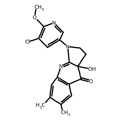 COc1ncc(N2CCC3(O)C(=O)c4cc(C)c(C)cc4N=C23)cc1Cl